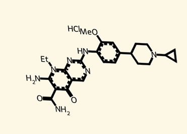 CCn1c(N)c(C(N)=O)c(=O)c2cnc(Nc3ccc(C4CCN(C5CC5)CC4)cc3OC)nc21.Cl